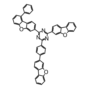 c1ccc(-c2cccc3oc4cc(-c5nc(-c6ccc(-c7ccc8c(c7)oc7ccccc78)cc6)nc(-c6ccc7c(c6)oc6ccccc67)n5)ccc4c23)cc1